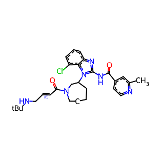 Cc1cc(C(=O)Nc2nc3cccc(Cl)c3n2C2CCCCN(C(=O)/C=C/CNC(C)(C)C)C2)ccn1